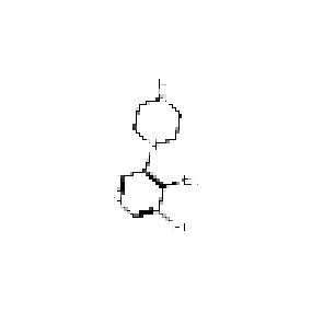 CCc1cn[c]c(N2CCNCC2)c1CC